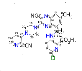 Cc1cc([C@@H](C)Nc2ccc(Cl)nc2C(=O)O)c2nc(N3CCN(c4cccnc4C#N)CC3)c(C#N)nc2c1